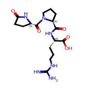 N=C(N)NCCC[C@H](NC(=O)[C@@H]1CCCN1C(=O)[C@@H]1CCC(=O)N1)C(=O)O